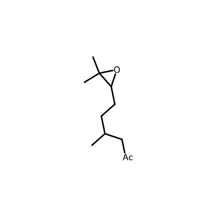 CC(=O)CC(C)CCC1OC1(C)C